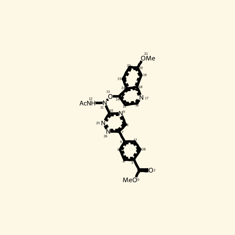 COC(=O)c1ccc(-c2cnc(N(NC(C)=O)Oc3ccnc4cc(OC)ccc34)nn2)cc1